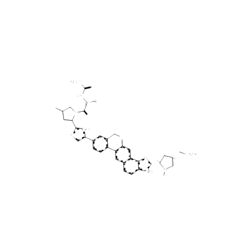 COC[C@H]1C[C@@H](c2nc3c(ccc4cc5c(cc43)OCc3cc(-c4cnc(C6CC(C)CN6C(=O)[C@@H](NC(=O)OC)C(C)C)[nH]4)ccc3-5)[nH]2)N(C(=O)O)C1